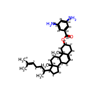 CC(C)=CCCC(C)C1CCC2C3CC=C4CCC(OC(=O)c5cc(N)cc(N)c5)CC4(C)C3CCC12C